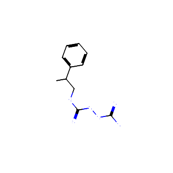 CC(CNC(=N)NNC(=N)N)c1ccccc1.Cl